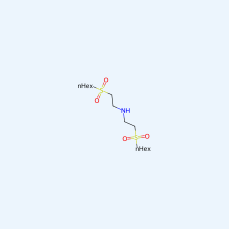 CCCCCCS(=O)(=O)CCNCCS(=O)(=O)CCCCCC